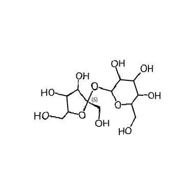 OCC1OC(O[C@]2(CO)OC(CO)C(O)C2O)C(O)C(O)C1O